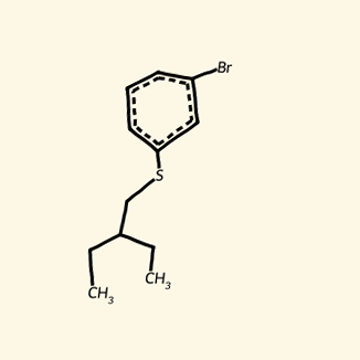 CCC(CC)CSc1cccc(Br)c1